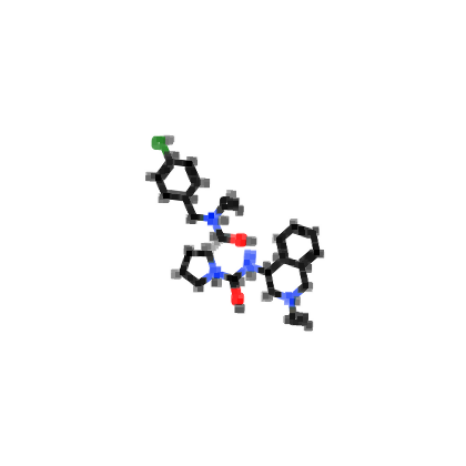 CN1Cc2ccccc2C(NC(=O)N2CCC[C@@H]2C(=O)N(C)Cc2ccc(Cl)cc2)C1